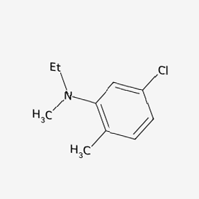 CCN(C)c1cc(Cl)ccc1C